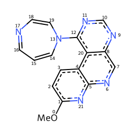 COc1ccc2c(ncc3ncnc(N4C=CC=NC=C4)c32)n1